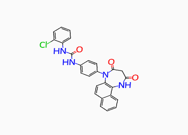 O=C1CC(=O)N(c2ccc(NC(=O)Nc3ccccc3Cl)cc2)c2ccc3ccccc3c2N1